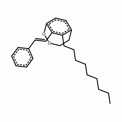 CCCCCCCCCc1c2ccc(c1C=Cc1ccccc1)OOCC2